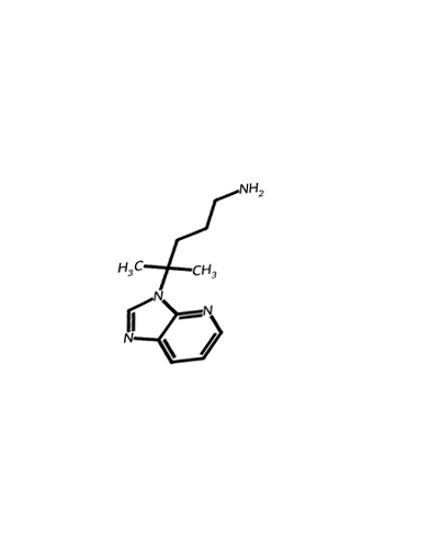 CC(C)(CCCN)n1cnc2cccnc21